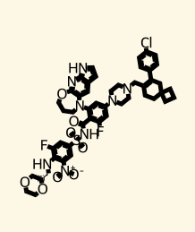 O=C(NS(=O)(=O)c1cc(F)c(NC[C@H]2COCCO2)c([N+](=O)[O-])c1)c1c(F)cc(N2CCN(CC3=C(c4ccc(Cl)cc4)CC4(CCC4)CC3)CC2)cc1N1CCCOc2nc3[nH]ccc3cc21